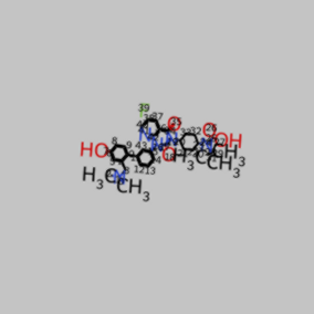 CN(C)Cc1cc(O)ccc1-c1cccc(-n2c(=O)n(C3CCC(N(C(=O)O)C(C)(C)C)CC3)c(=O)c3cc(F)cnc32)c1